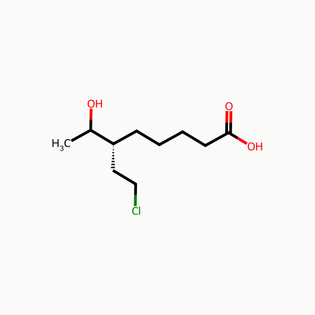 CC(O)[C@@H](CCCl)CCCCC(=O)O